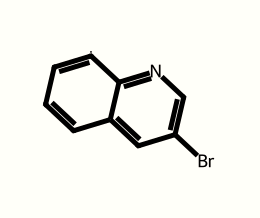 Brc1cnc2[c]cccc2c1